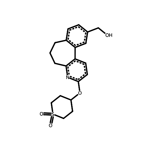 O=S1(=O)CCC(Oc2ccc3c(n2)CCCc2ccc(CO)cc2-3)CC1